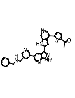 CC(=O)c1ccc(-c2cncc3[nH]c(-c4n[nH]c5ncc(-c6cncc(CNCc7ccccc7)c6)cc45)cc23)s1